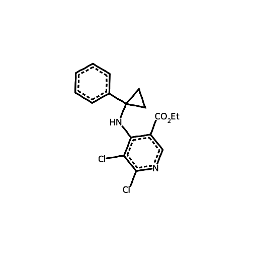 CCOC(=O)c1cnc(Cl)c(Cl)c1NC1(c2ccccc2)CC1